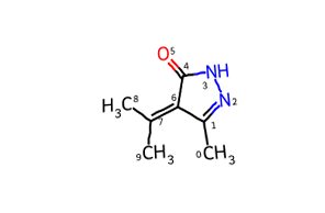 CC1=NNC(=O)C1=C(C)C